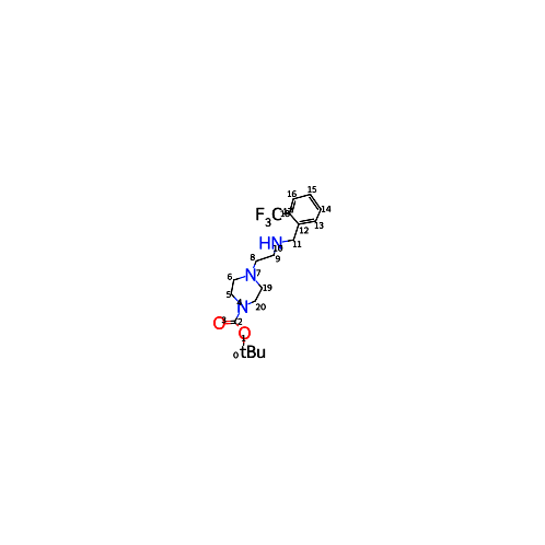 CC(C)(C)OC(=O)N1CCN(CCNCc2ccccc2C(F)(F)F)CC1